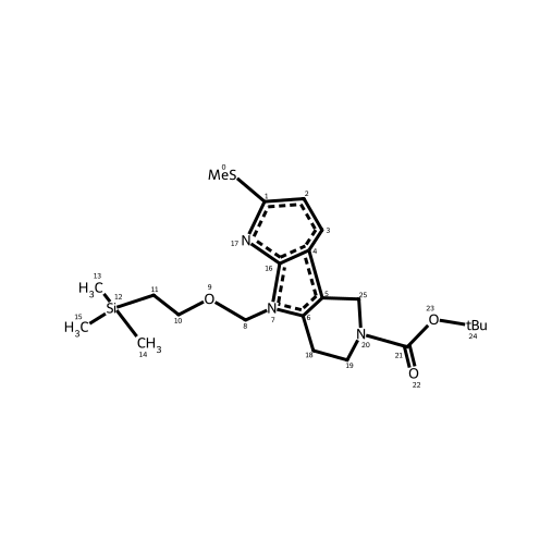 CSc1ccc2c3c(n(COCC[Si](C)(C)C)c2n1)CCN(C(=O)OC(C)(C)C)C3